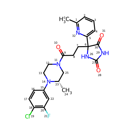 Cc1cccc(C2(CCC(=O)N3CCN(c4ccc(Cl)c(F)c4)[C@@H](C)C3)NC(=O)NC2=O)n1